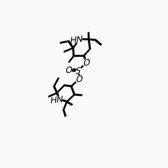 CCC1(C)CC(OS(=O)OC2CC(C)(CC)NC(C)(CC)C2C)C(C)C(C)(CC)N1